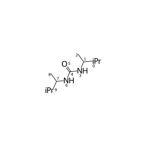 CC(C)C(C)NC(=O)NC(C)C(C)C